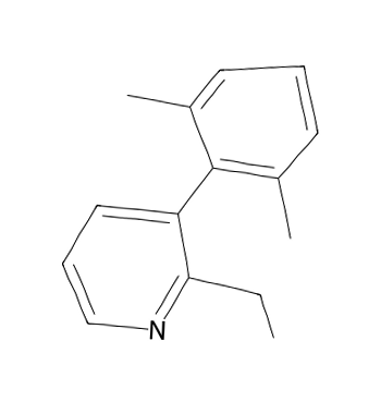 CCc1ncccc1-c1c(C)cccc1C